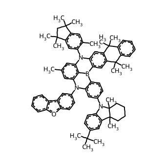 Cc1cc2c3c(c1)N(c1cc4c(cc1C)C(C)(C)CC4(C)C)c1cc4c(cc1B3c1ccc(N3c5ccc(C(C)(C)C)cc5C5(C)CCCCC35C)cc1N2c1ccc2oc3ccccc3c2c1)C(C)(C)c1ccccc1C4(C)C